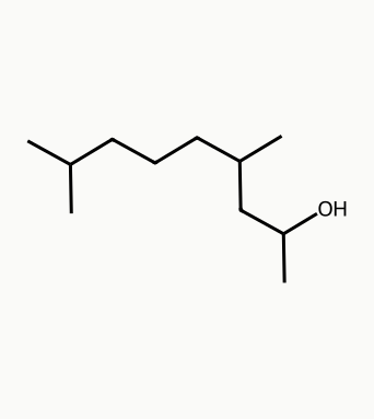 CC(C)CCCC(C)CC(C)O